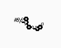 O=C(O)CCSC(Cc1cccc(C(=O)O)c1)c1cccc(OCc2ccc3ccc(Cl)cc3n2)c1